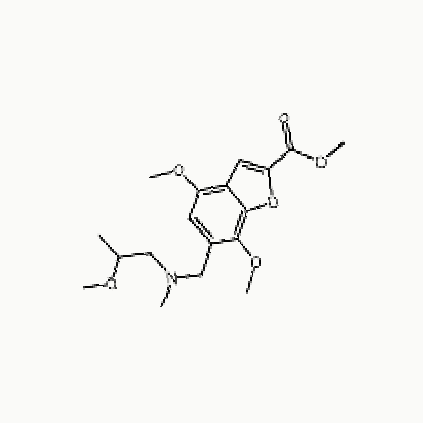 COC(=O)c1cc2c(OC)cc(CN(C)CC(C)OC)c(OC)c2o1